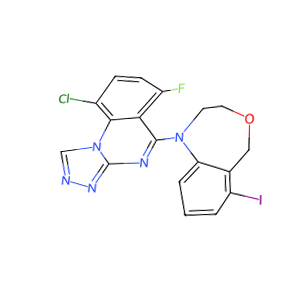 Fc1ccc(Cl)c2c1c(N1CCOCc3c(I)cccc31)nc1nncn12